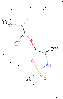 CC(COC(=O)C(C)F)NS(=O)(=O)C(F)(F)F